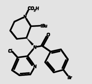 CC(C)(C)C1[C@H](N(C(=O)c2ccc(Br)cc2)c2ncccc2Cl)CCCN1C(=O)O